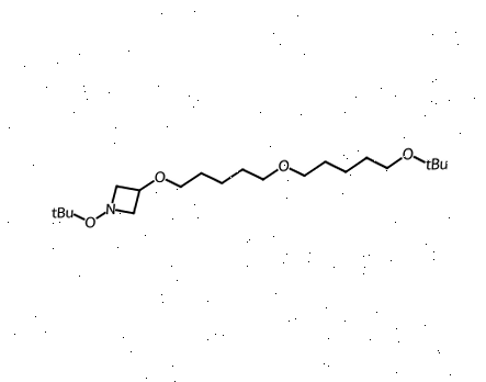 CC(C)(C)OCCCCCOCCCCCOC1CN(OC(C)(C)C)C1